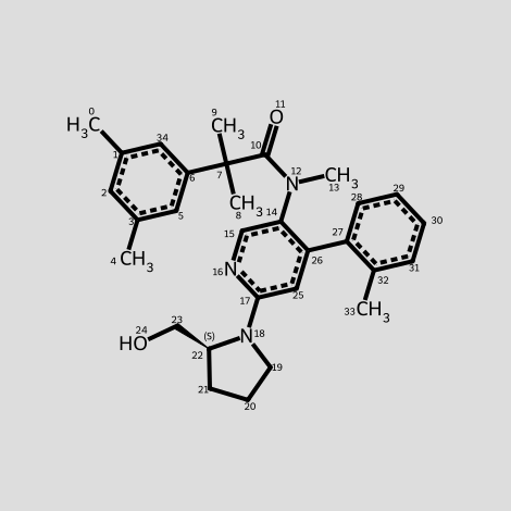 Cc1cc(C)cc(C(C)(C)C(=O)N(C)c2cnc(N3CCC[C@H]3CO)cc2-c2ccccc2C)c1